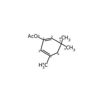 CC(=O)OC1=CC(C)(C)CC(C)=C1